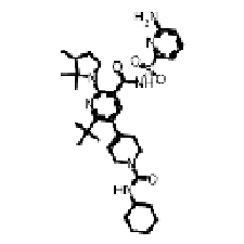 CC1CCN(c2nc(C(C)(C)C)c(C3=CCN(C(=O)NC4CCCCC4)CC3)cc2C(=O)NS(=O)(=O)c2cccc(N)n2)C1(C)C